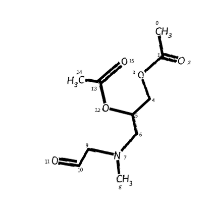 CC(=O)OCC(CN(C)CC=O)OC(C)=O